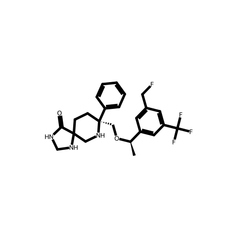 C[C@@H](OC[C@@]1(c2ccccc2)CCC2(CN1)NCNC2=O)c1cc(CF)cc(C(F)(F)F)c1